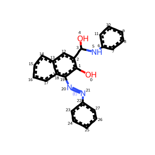 Oc1c(C(O)Nc2ccccc2)cc2ccccc2c1/N=N/c1ccccc1